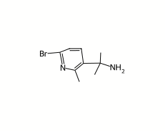 Cc1nc(Br)ccc1C(C)(C)N